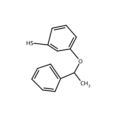 CC(Oc1cccc(S)c1)c1ccccc1